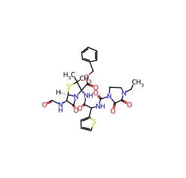 CCN1CCN(C(=O)NC(C(=O)N[C@@]2(C(=O)OCc3ccccc3)N3C(=O)[C@@H](NC=O)[C@H]3SC2(C)C)c2cccs2)C(=O)C1=O